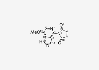 COc1cnc(N2C(=O)CCC2=O)c2cn[nH]c12